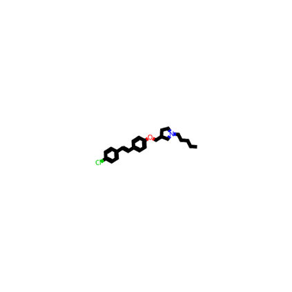 CCCCCN1CCC(COc2ccc(C=Cc3ccc(Cl)cc3)cc2)C1